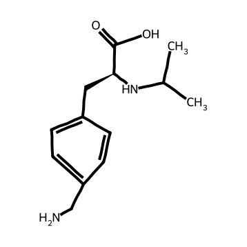 CC(C)N[C@@H](Cc1ccc(CN)cc1)C(=O)O